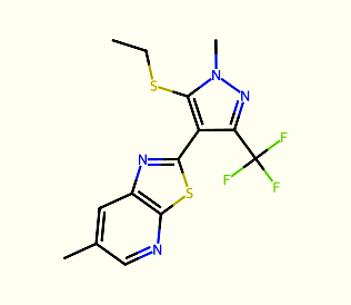 CCSc1c(-c2nc3cc(C)cnc3s2)c(C(F)(F)F)nn1C